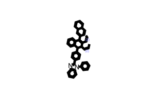 C/C=C\C1=C(C2=CC3C=CC=CC3C=C2)c2ccccc2C(c2ccc(-c3nc4ccccc4n3-c3ccccc3)cc2)C1/C=C\C